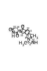 CC1CNCC(C)N1Cc1cccc2c1CN(C1CCC(=O)NC1=O)C2=O